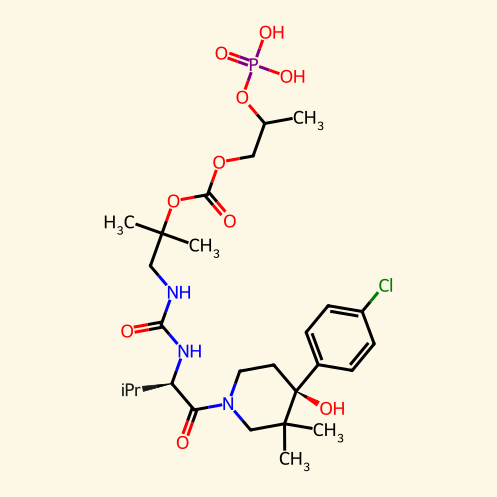 CC(COC(=O)OC(C)(C)CNC(=O)N[C@@H](C(=O)N1CC[C@](O)(c2ccc(Cl)cc2)C(C)(C)C1)C(C)C)OP(=O)(O)O